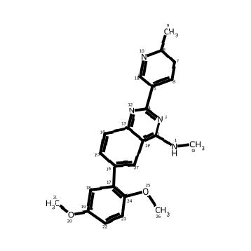 CNc1nc(C2=CCC(C)N=C2)nc2ccc(-c3cc(OC)ccc3OC)cc12